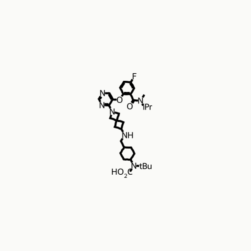 CC(C)N(C)C(=O)c1cc(F)ccc1Oc1cncnc1N1CC2(CC(NCC3CCC(N(C(=O)O)C(C)(C)C)CC3)C2)C1